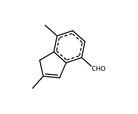 CC1=Cc2c(C=O)ccc(C)c2C1